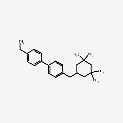 CC1(C)CC(Cc2ccc(-c3ccc(CP)cc3)cc2)CC(C)(C)C1